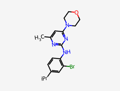 Cc1cc(N2CCOCC2)nc(Nc2ccc(C(C)C)cc2Br)n1